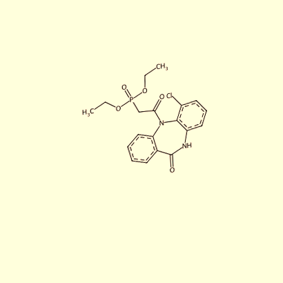 CCOP(=O)(CC(=O)N1c2ccccc2C(=O)Nc2cccc(Cl)c21)OCC